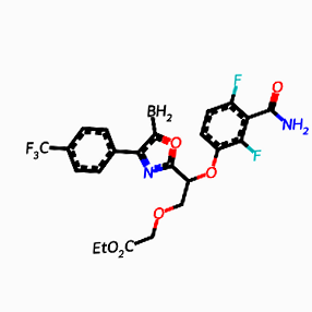 Bc1oc(C(COCC(=O)OCC)Oc2ccc(F)c(C(N)=O)c2F)nc1-c1ccc(C(F)(F)F)cc1